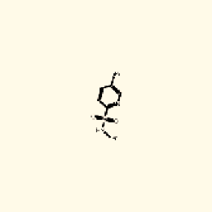 CC(C)NS(=O)(=O)c1ccc(C(C)C)cn1